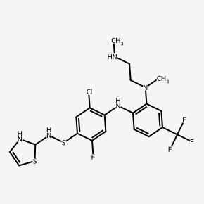 CNCCN(C)c1cc(C(F)(F)F)ccc1Nc1cc(F)c(SNC2NC=CS2)cc1Cl